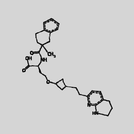 CC1(C(=O)N[C@@H](CCOC2CC(CCc3ccc4c(n3)NCCC4)C2)C(=O)O)CCc2ccccc2C1